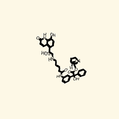 O=C(CCCCNC[C@H](O)c1ccc(O)c2[nH]c(=O)ccc12)Nc1cccc(C(O)(C(=O)O[C@H]2CN3CCC2CC3)c2ccccc2)c1